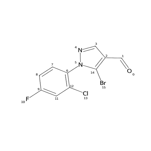 O=Cc1cnn(-c2ccc(F)cc2Cl)c1Br